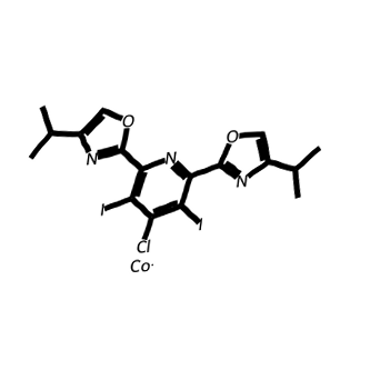 CC(C)c1coc(-c2nc(-c3nc(C(C)C)co3)c(I)c(Cl)c2I)n1.[Co]